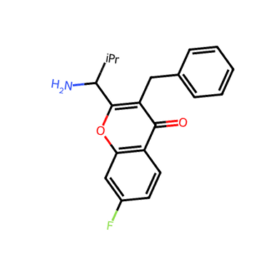 CC(C)C(N)c1oc2cc(F)ccc2c(=O)c1Cc1ccccc1